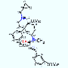 COc1cccc(/C=C/C(=O)N(C)C2CCC3(OC)CN(CC4CC4)CCC3(c3cccc(OC)c3)C2)c1